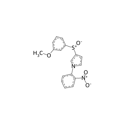 COc1cccc([S+]([O-])c2ccn(-c3ccccc3[N+](=O)[O-])c2)c1